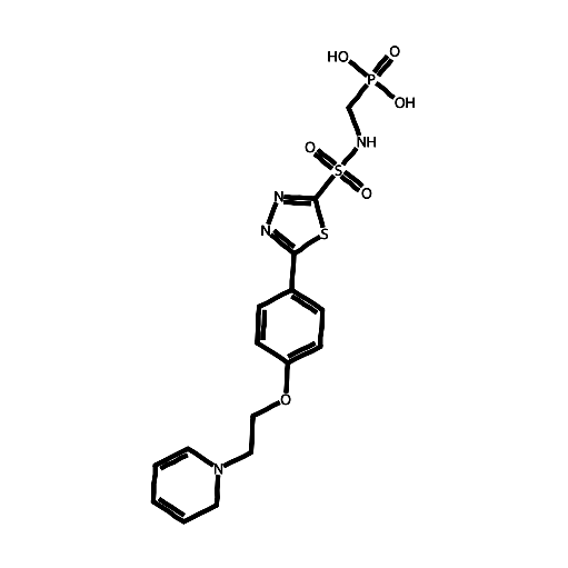 O=P(O)(O)CNS(=O)(=O)c1nnc(-c2ccc(OCCN3C=CC=CC3)cc2)s1